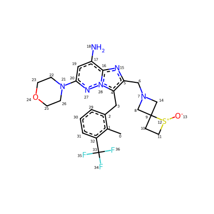 Cc1c(Cc2c(CN3CC4(CC[S+]4[O-])C3)nc3c(N)cc(N4CCOCC4)nn23)cccc1C(F)(F)F